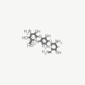 NC[C@H]1O[C@H](OC2C(O)[C@@H](O[C@H]3OC(CO)[C@@H](O)[C@H](N)C3O)[C@H](N)C[C@@H]2N)[C@H](N)CC1O